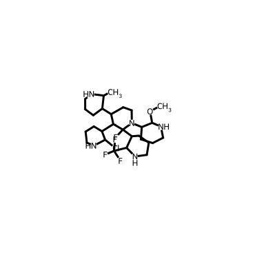 COC1NCCCC1N1CCC(C2CCCNC2C)[C](C2CCCNC2Cl)C1(F)C1CCCNC1C(F)(F)F